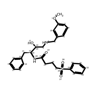 COc1cccc(CNC[C@H](O)[C@H](Cc2ccccc2)NC(=O)CCCS(=O)(=O)c2ccccc2)c1